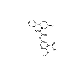 COc1ncc(NC(=O)C(=O)N2C[C@H](C)CC[C@@H]2c2ccccc2)cc1C(N)=O